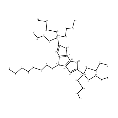 CCCCCCCCn1c2c[c]([Sn]([CH2]CCC)([CH2]CCC)[CH2]CCC)sc2c2s[c]([Sn]([CH2]CCC)([CH2]CCC)[CH2]CCC)cc21